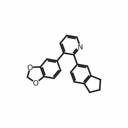 c1cnc(-c2ccc3c(c2)CCC3)c(-c2ccc3c(c2)OCO3)c1